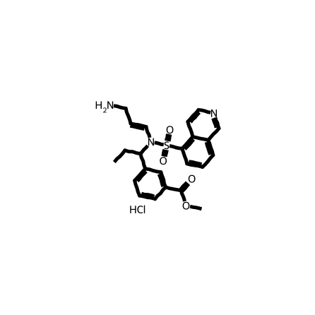 CCC(c1cccc(C(=O)OC)c1)N(C=CCN)S(=O)(=O)c1cccc2cnccc12.Cl